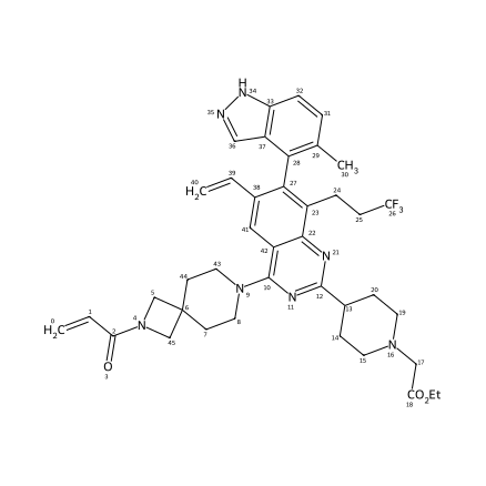 C=CC(=O)N1CC2(CCN(c3nc(C4CCN(CC(=O)OCC)CC4)nc4c(CCC(F)(F)F)c(-c5c(C)ccc6[nH]ncc56)c(C=C)cc34)CC2)C1